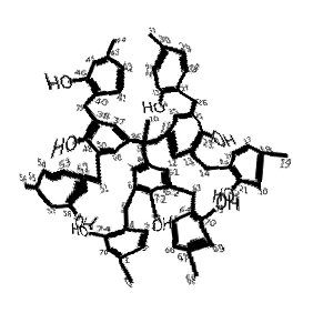 Cc1ccc(Cc2cc(C(C)(c3cc(Cc4ccc(C)cc4O)c(O)c(Cc4ccc(C)cc4O)c3)c3cc(Cc4ccc(C)cc4O)c(O)c(Cc4ccc(C)cc4O)c3)cc(Cc3ccc(C)cc3O)c2O)c(O)c1